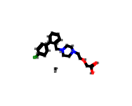 O=C([O-])COCCN1CCN(Cc2ccccc2-c2ccc(Cl)cc2)CC1.[K+]